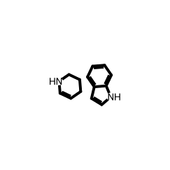 C1=CNCCC1.c1ccc2[nH]ccc2c1